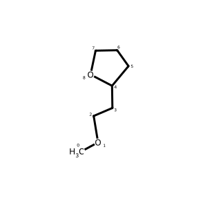 COCCC1CCCO1